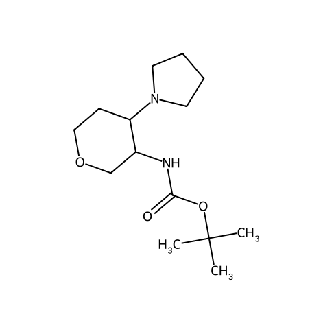 CC(C)(C)OC(=O)NC1COCCC1N1CCCC1